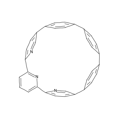 c1cc2nc(c1)-c1ccc(cn1)-c1ccc(cc1)-c1ccc(cc1)-c1ccc(cc1)-c1ccc-2nc1